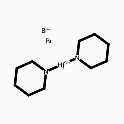 C1CC[N]([Hf+2][N]2CCCCC2)CC1.[Br-].[Br-]